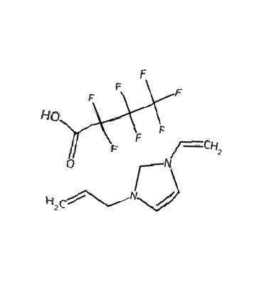 C=CCN1C=CN(C=C)C1.O=C(O)C(F)(F)C(F)(F)C(F)(F)F